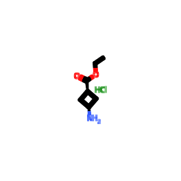 CCOC(=O)[C@H]1C[C@@H](N)C1.Cl